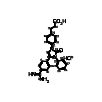 Cl.N=C(N)c1ccc(-c2cn(-c3ccc(CCC(=O)O)cc3)c(=O)n2-c2ccccc2)cc1